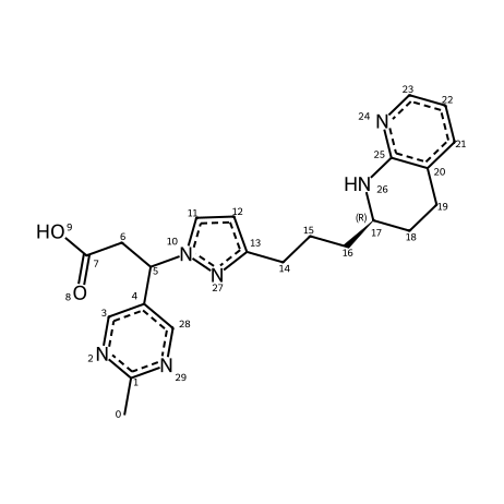 Cc1ncc(C(CC(=O)O)n2ccc(CCC[C@@H]3CCc4cccnc4N3)n2)cn1